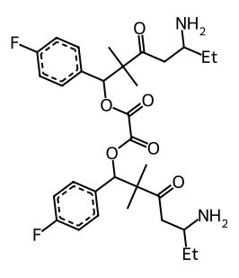 CCC(N)CC(=O)C(C)(C)C(OC(=O)C(=O)OC(c1ccc(F)cc1)C(C)(C)C(=O)CC(N)CC)c1ccc(F)cc1